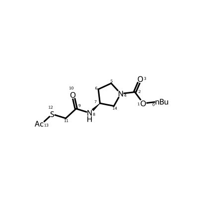 CCCCOC(=O)N1CC[C@H](NC(=O)CSC(C)=O)C1